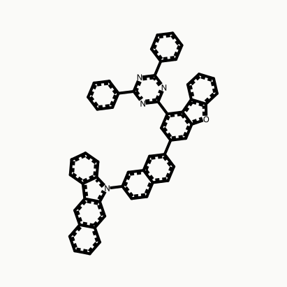 c1ccc(-c2nc(-c3ccccc3)nc(-c3cc(-c4ccc5ccc(-n6c7ccccc7c7cc8ccccc8cc76)cc5c4)cc4oc5ccccc5c34)n2)cc1